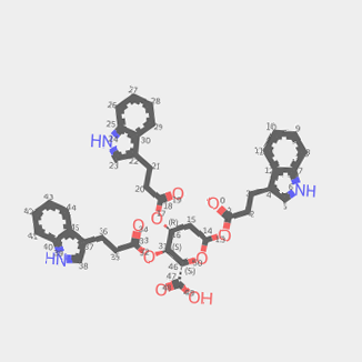 O=C(CCc1c[nH]c2ccccc12)OC1C[C@@H](OC(=O)CCc2c[nH]c3ccccc23)[C@H](OC(=O)CCc2c[nH]c3ccccc23)[C@@H](C(=O)O)O1